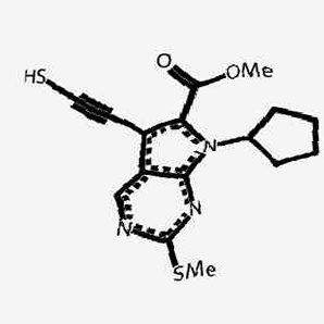 COC(=O)c1c(C#CS)c2cnc(SC)nc2n1C1CCCC1